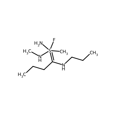 CCCNC(CCC)=S(C)(N)(F)NC